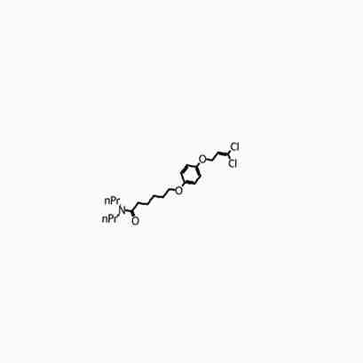 CCCN(CCC)C(=O)CCCCCOc1ccc(OCC=C(Cl)Cl)cc1